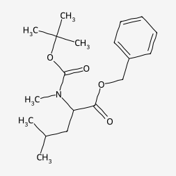 CC(C)CC(C(=O)OCc1ccccc1)N(C)C(=O)OC(C)(C)C